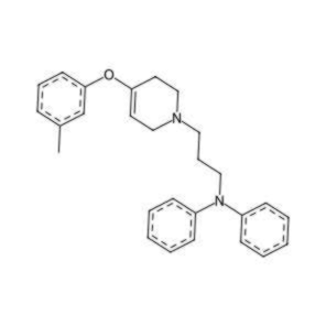 Cc1cccc(OC2=CCN(CCCN(c3ccccc3)c3ccccc3)CC2)c1